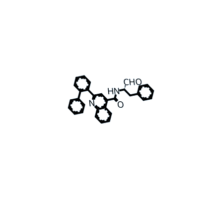 O=C[C@H](Cc1ccccc1)NC(=O)c1cc(-c2ccccc2-c2ccccc2)nc2ccccc12